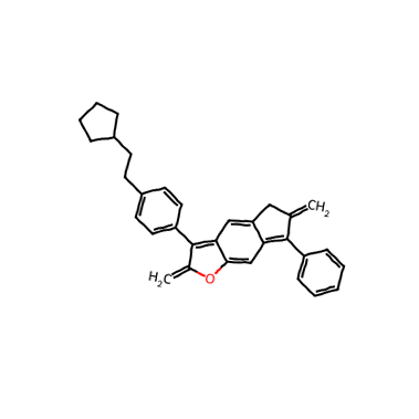 C=C1Cc2cc3c(-c4ccc(CCC5CCCC5)cc4)c(=C)oc3cc2=C1c1ccccc1